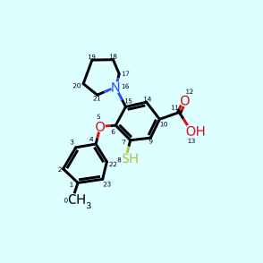 Cc1ccc(Oc2c(S)cc(C(=O)O)cc2N2CCCCC2)cc1